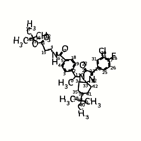 CC(c1ccc(C(=O)NCCC(=O)OC(C)(C)C)cc1)N1C(=O)C(c2ccc(F)c(Cl)c2)=NC12CCC(C(C)(C)C)CC2